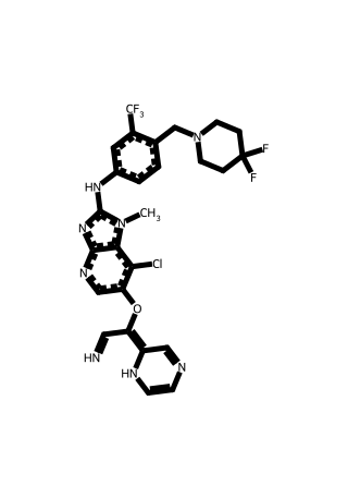 Cn1c(Nc2ccc(CN3CCC(F)(F)CC3)c(C(F)(F)F)c2)nc2ncc(O/C(C=N)=C3\C=NC=CN3)c(Cl)c21